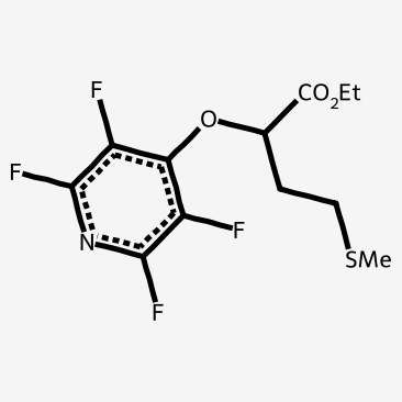 CCOC(=O)C(CCSC)Oc1c(F)c(F)nc(F)c1F